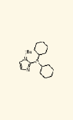 CC(C)(C)n1ccnc1P(C1CCCCC1)C1CCCCC1